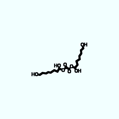 O=C(OC(O)CCCCCCCO)C(=O)OC(O)CCCCCCCO